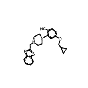 N#Cc1ccc(OCC2CC2)cc1N1CCN(Cc2nc3ccccc3s2)CC1